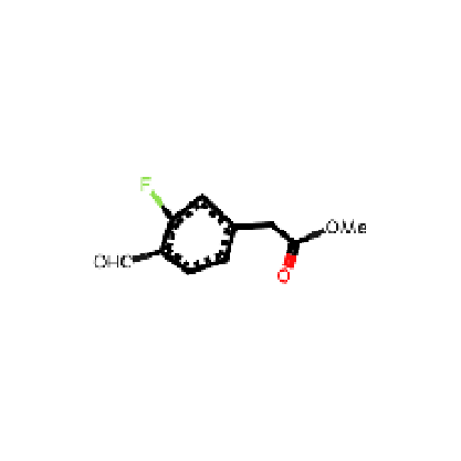 COC(=O)Cc1ccc(C=O)c(F)c1